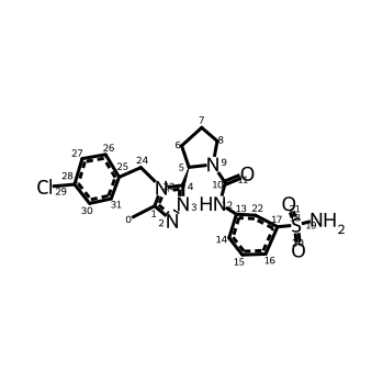 Cc1nnc([C@H]2CCCN2C(=O)Nc2cccc(S(N)(=O)=O)c2)n1Cc1ccc(Cl)cc1